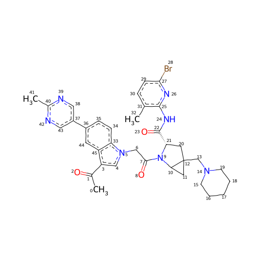 CC(=O)c1cn(CC(=O)N2C3CC3(CN3CCCCC3)C[C@H]2C(=O)Nc2nc(Br)ccc2C)c2ccc(-c3cnc(C)nc3)cc12